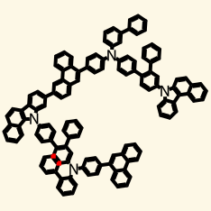 c1ccc(-c2cccc(N(c3ccc(-c4ccc(-n5c6ccccc6c6c7ccccc7ccc65)cc4-c4ccccc4)cc3)c3ccc(-c4cc5ccc(-c6ccc7c8ccc9ccccc9c8n(-c8ccc(-c9ccc(N(c%10ccc(-c%11cc%12ccccc%12c%12ccccc%11%12)cc%10)c%10ccccc%10-c%10ccccc%10)cc9-c9ccccc9)cc8)c7c6)cc5c5ccccc45)cc3)c2)cc1